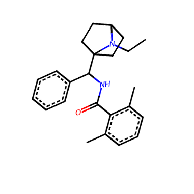 CCN1C2CCC1(C(NC(=O)c1c(C)cccc1C)c1ccccc1)CC2